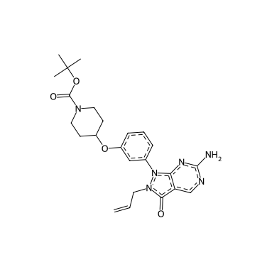 C=CCn1c(=O)c2cnc(N)nc2n1-c1cccc(OC2CCN(C(=O)OC(C)(C)C)CC2)c1